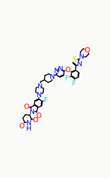 O=C1CCC(N2C(=O)c3cc(F)c(N4CCN(CC5CCN(c6ccc(Oc7c(-c8csc(N9CCOCC9)n8)ccc(F)c7F)nn6)CC5)CC4)cc3C2=O)C(=O)N1